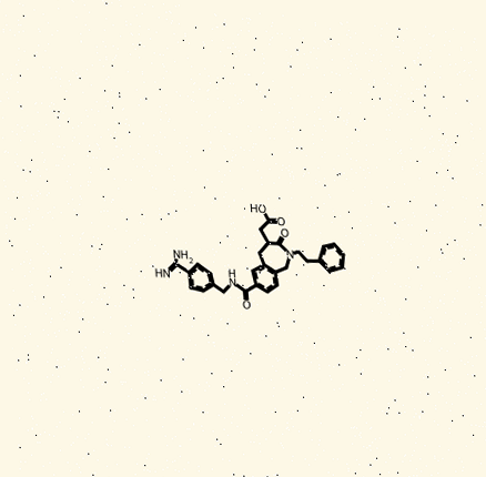 N=C(N)c1ccc(CNC(=O)c2ccc3c(c2)CC(CC(=O)O)C(=O)N(CCc2ccccc2)C3)cc1